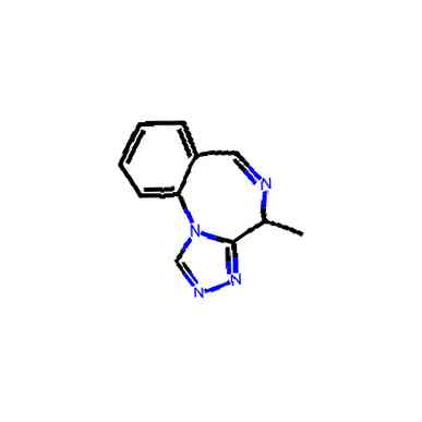 CC1N=Cc2ccccc2-n2cnnc21